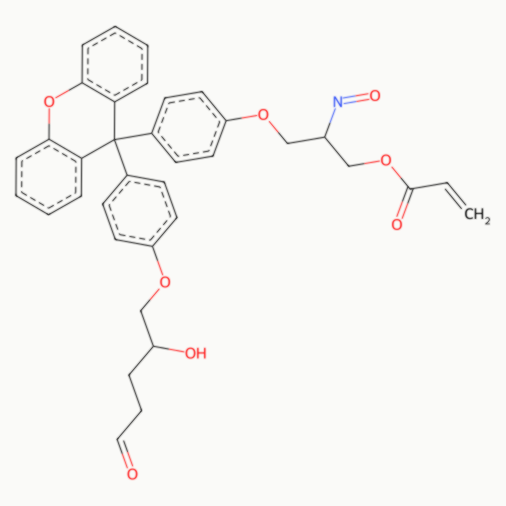 C=CC(=O)OCC(COc1ccc(C2(c3ccc(OCC(O)CCC=O)cc3)c3ccccc3Oc3ccccc32)cc1)N=O